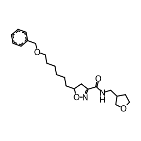 O=C(NCC1CCOC1)C1=NOC(CCCCCCOCc2ccccc2)C1